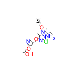 CCC(N)[C@@H](C)N(COCC[Si](C)(C)C)c1nc(Cl)nc(OCc2cncc(OC[C@H](C)O)c2)c1C